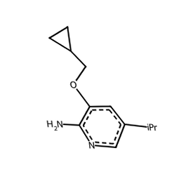 CC(C)c1cnc(N)c(OCC2CC2)c1